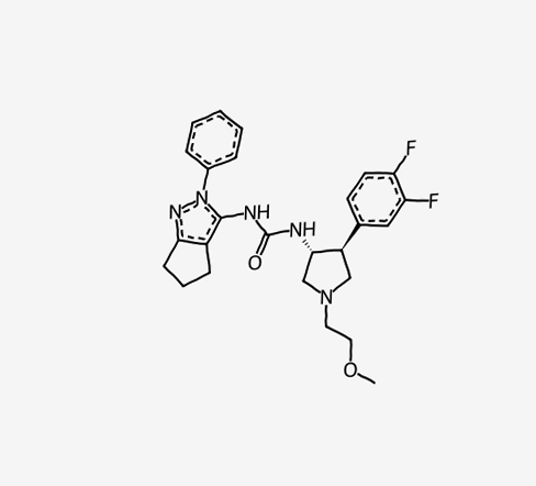 COCCN1C[C@H](NC(=O)Nc2c3c(nn2-c2ccccc2)CCC3)[C@@H](c2ccc(F)c(F)c2)C1